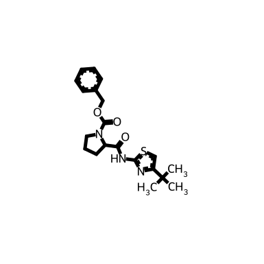 CC(C)(C)c1csc(NC(=O)C2CCCN2C(=O)OCc2ccccc2)n1